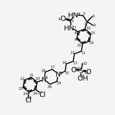 CC1(C)CNC(=O)Nc2cc(CCCCCN3CCN(c4cccc(Cl)c4Cl)CC3)ccc21.CS(=O)(=O)O